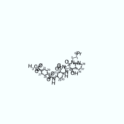 CC(C)CCn1c(=O)c(C2=NS(=O)(=O)c3cc(NS(=O)(=O)c4ccc(S(C)(=O)=O)cc4)ccc3N2)c(O)c2cccnc21